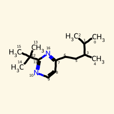 CC(C)C(C)CCc1ccnc(C(C)(C)C)n1